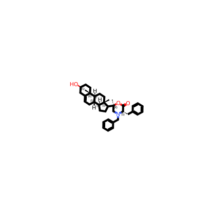 C[C@]12CC[C@H](O)CC1=CC[C@@H]1[C@@H]2CC[C@]2(C)C([C@]3(C)CN(Cc4ccccc4)[C@@H](Cc4ccccc4)C(=O)O3)CC[C@@H]12